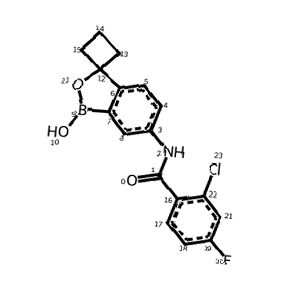 O=C(Nc1ccc2c(c1)B(O)OC21CCC1)c1ccc(F)cc1Cl